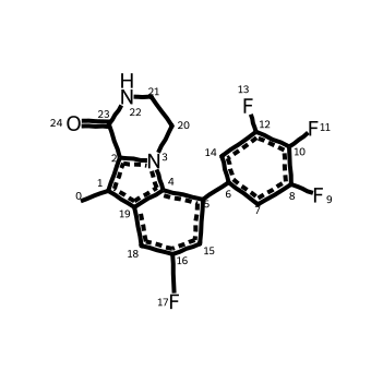 Cc1c2n(c3c(-c4cc(F)c(F)c(F)c4)cc(F)cc13)CCNC2=O